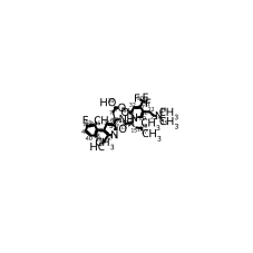 C#Cc1ncc([C@@H](CC(=O)O)NC(=O)[C@@H](CC(C)C)n2cc(CCN(C)C)c(C(F)(F)F)cc2=O)cc1-c1c(C)ccc(F)c1C